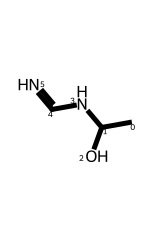 CC(O)N[C]=N